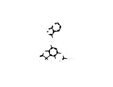 CNC(=O)Nc1cc(/N=N/c2snc3ncccc23)c2c(c1O)C(C)(C)C(=O)N2